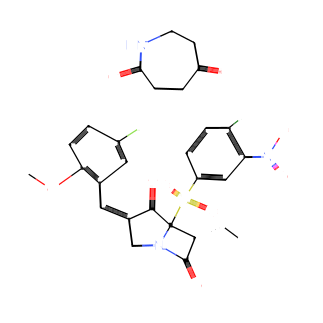 CC[C@@H]1C(=O)N2CC(=Cc3cc(F)ccc3OC)C(=O)C12S(=O)(=O)c1ccc(Cl)c([N+](=O)[O-])c1.O=C1CCNC(=O)CC1